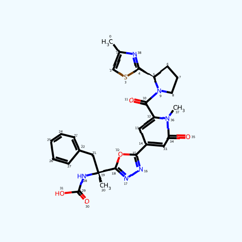 Cc1csc([C@H]2CCCN2C(=O)c2cc(-c3nnc([C@@](C)(Cc4ccccc4)NC(=O)O)o3)cc(=O)n2C)n1